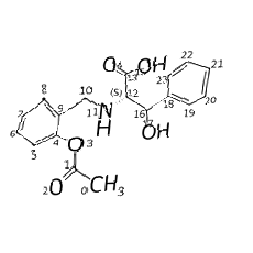 CC(=O)Oc1ccccc1CN[C@H](C(=O)O)C(O)c1ccccc1